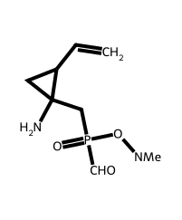 C=CC1CC1(N)CP(=O)(C=O)ONC